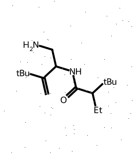 C=C(C(CN)NC(=O)C(CC)C(C)(C)C)C(C)(C)C